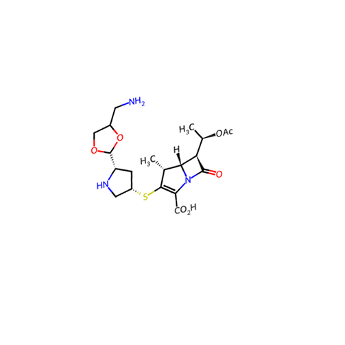 CC(=O)O[C@H](C)[C@H]1C(=O)N2C(C(=O)O)=C(S[C@@H]3CN[C@H](C4OCC(CN)O4)C3)[C@H](C)[C@H]12